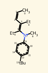 C/C=C\C(CC)=C(/CC)N(C)c1ccc(C(C)(C)C)cc1